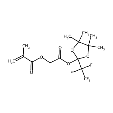 C=C(C)C(=O)OCC(=O)OC1(C(F)(F)C(F)(F)F)OC(C)(C)C(C)(C)O1